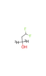 [2H]C([2H])(O)CC(F)F